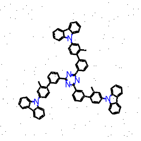 Cc1cc(-n2c3ccccc3c3ccccc32)ccc1-c1cccc(-c2nc(-c3cccc(-c4ccc(-n5c6ccccc6c6ccccc65)cc4C)c3)nc(-c3cccc(-c4ccc(-n5c6ccccc6c6ccccc65)cc4C)c3)n2)c1